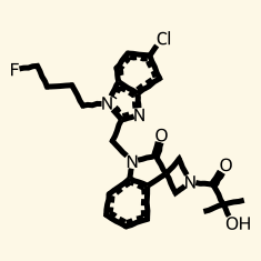 CC(C)(O)C(=O)N1CC2(C1)C(=O)N(Cc1nc3cc(Cl)ccc3n1CCCCF)c1ccccc12